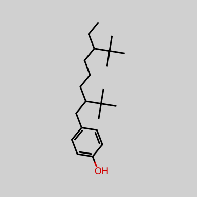 CCC(CCCC(Cc1ccc(O)cc1)C(C)(C)C)C(C)(C)C